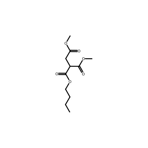 CCCCOC(=O)C(CC(=O)OC)C(=O)OC